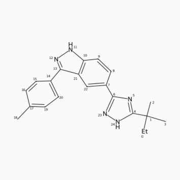 CCC(C)(C)c1nc(-c2ccc3[nH]nc(-c4ccc(C)cc4)c3c2)n[nH]1